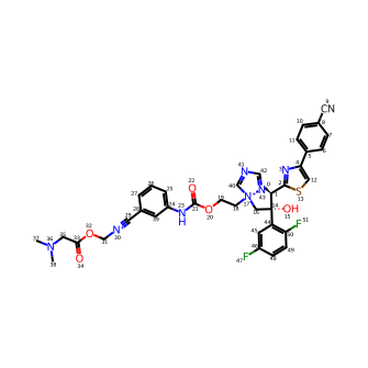 C[C@@H](c1nc(-c2ccc(C#N)cc2)cs1)[C@](O)(C[N+]1(CCOC(=O)Nc2cccc(C#[N+]COC(=O)CN(C)C)c2)C=NC=N1)c1cc(F)ccc1F